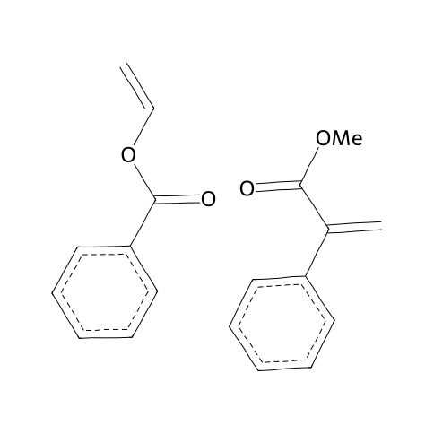 C=C(C(=O)OC)c1ccccc1.C=COC(=O)c1ccccc1